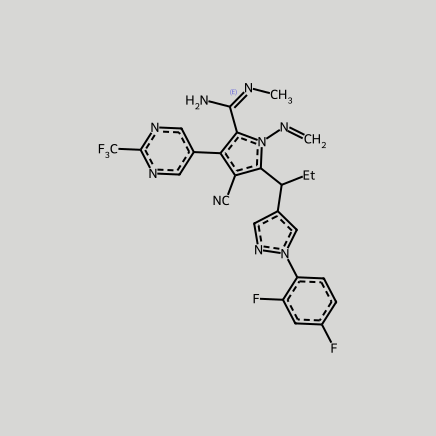 C=Nn1c(/C(N)=N\C)c(-c2cnc(C(F)(F)F)nc2)c(C#N)c1C(CC)c1cnn(-c2ccc(F)cc2F)c1